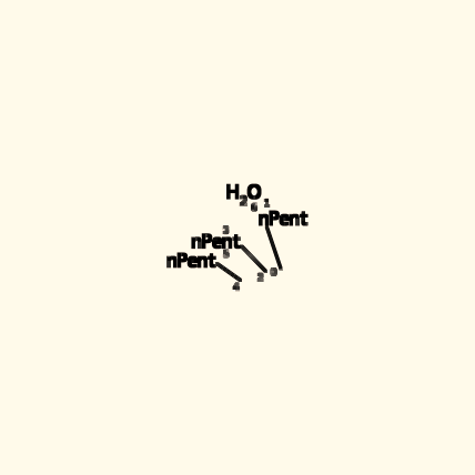 CCCCCC.CCCCCC.CCCCCC.O